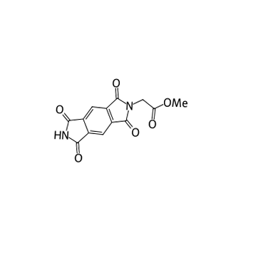 COC(=O)Cn1c(=O)c2cc3c(=O)[nH]c(=O)c3cc2c1=O